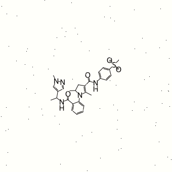 CC1=C(C(=O)Nc2ccc(S(C)(=O)=O)cc2)CC(C)N1c1ccccc1C(=O)NC(C)c1cnn(C)c1